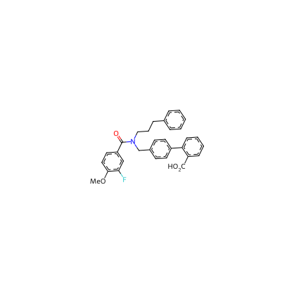 COc1ccc(C(=O)N(CCCc2ccccc2)Cc2ccc(-c3ccccc3C(=O)O)cc2)cc1F